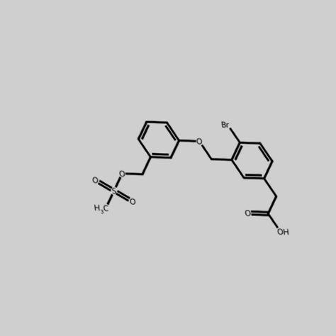 CS(=O)(=O)OCc1cccc(OCc2cc(CC(=O)O)ccc2Br)c1